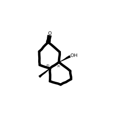 C[C@]12CCCC[C@@]1(O)CC(=O)CC2